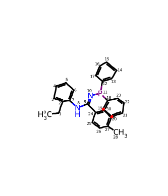 CCc1ccccc1NC(=NP(c1ccccc1)c1ccccc1)c1ccc(C)cc1